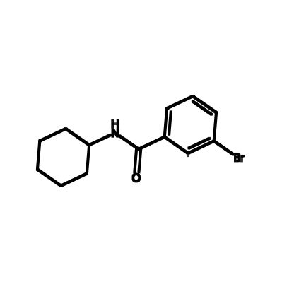 O=C(NC1CCCCC1)c1[c]c(Br)ccc1